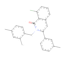 Cc1cccc(-c2cc3cccc(Cl)c3c(=O)n2Cc2ccc(C)cc2C)c1